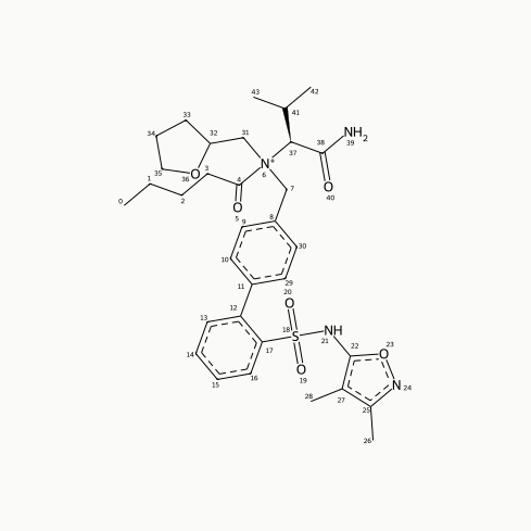 CCCCC(=O)[N+](Cc1ccc(-c2ccccc2S(=O)(=O)Nc2onc(C)c2C)cc1)(CC1CCCO1)[C@H](C(N)=O)C(C)C